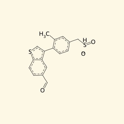 Cc1cc(C[SH](=O)=O)ccc1-c1csc2ccc(C=O)cc12